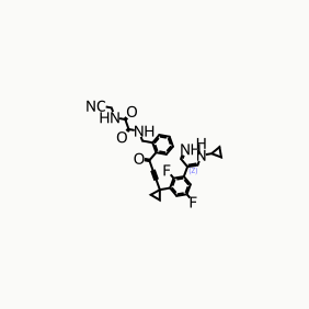 N#CCNC(=O)C(=O)NCc1ccccc1C(=O)C#CC1(c2cc(F)cc(/C(C=N)=C/NC3CC3)c2F)CC1